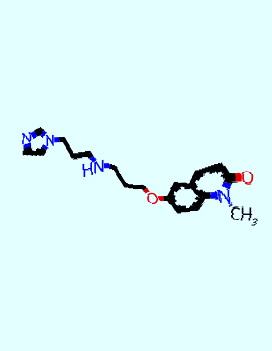 Cn1c(=O)ccc2cc(OCCCNCCCn3ccnc3)ccc21